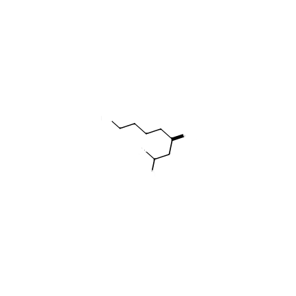 C=C(CCCCC)CC(C)N